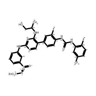 CCOC(=O)/N=[SH](=O)\c1cccc(Nc2ncc(-c3ccc(NC(=O)Nc4cc(C(F)(F)F)ccc4F)c(F)c3)c(NC(C)CO)n2)c1